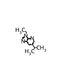 CCn1cnc2cc(C(C)C)cnc21